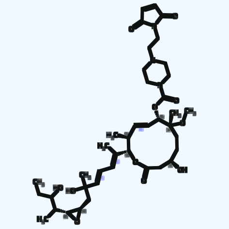 CCC(O)C(C)[C@H]1O[C@@H]1CC(C)(O)/C=C/C=C(\C)[C@H]1OC(=O)C[C@H](O)CC[C@@](C)(OC)[C@@H](OC(=O)N2CCN(CCN3C(=O)C=CC3=O)CC2)/C=C/[C@@H]1C